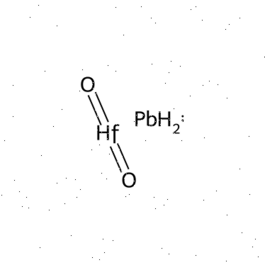 [O]=[Hf]=[O].[PbH2]